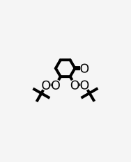 CC(C)(C)OOC1CCCC(=O)C1OOC(C)(C)C